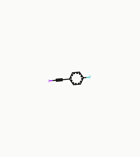 Fc1ccc(C#CI)cc1